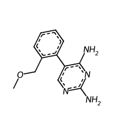 COCc1ccccc1-c1cnc(N)nc1N